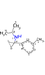 Cc1cccc(C2(NC(C)C)CC2)c1